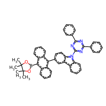 CC1(C)OB(c2c3ccccc3c(-c3ccc4c(c3)c3ccccc3n4-c3nc(-c4ccccc4)nc(-c4ccccc4)n3)c3ccccc23)OC1(C)C